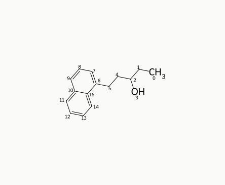 CCC(O)CCc1cccc2ccccc12